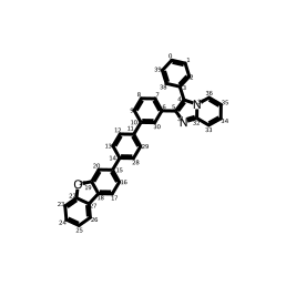 c1ccc(-c2c(-c3cccc(-c4ccc(-c5ccc6c(c5)oc5ccccc56)cc4)c3)nc3ccccn23)cc1